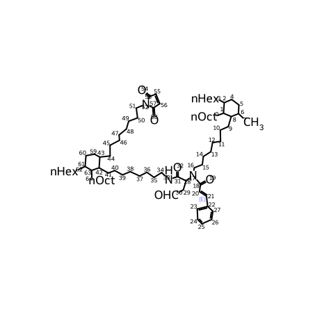 CCCCCCCCC1C(CCCCCC)CCC(C)C1CCCCCCCCN(C(=O)/C=C/c1ccccc1)C(CC=O)C(=O)NCCCCCCCCC1C(CCCCCCCCN2C(=O)C=CC2=O)CCC(CCCCCC)C1CCCCCCCC